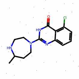 CC1CCN(c2nc3cccc(Cl)c3c(=O)[nH]2)CCN1